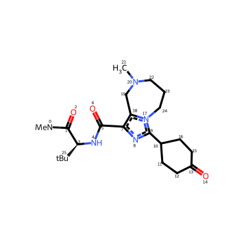 CNC(=O)[C@@H](NC(=O)c1nc(C2CCC(=O)CC2)n2c1CN(C)CCC2)C(C)(C)C